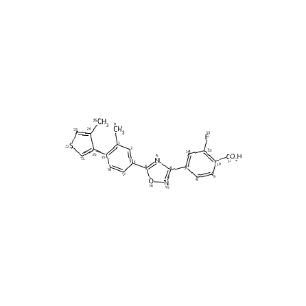 Cc1cc(-c2nc(-c3ccc(C(=O)O)c(F)c3)no2)ccc1-c1cscc1C